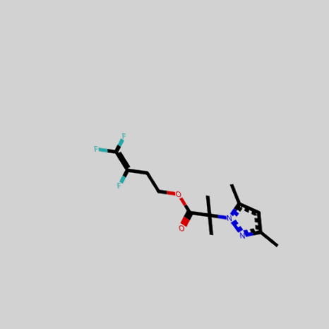 Cc1cc(C)n(C(C)(C)C(=O)OCCC(F)=C(F)F)n1